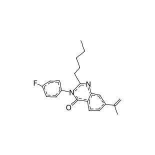 C=C(C)c1ccc2c(=O)n(-c3ccc(F)cc3)c(CCCCC)nc2c1